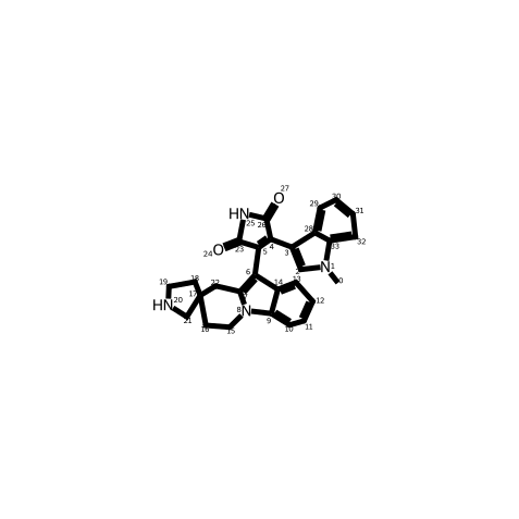 Cn1cc(C2=C(c3c4n(c5ccccc35)CCC3(CCNC3)C4)C(=O)NC2=O)c2ccccc21